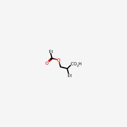 CCC(=O)OCC(CC)C(=O)O